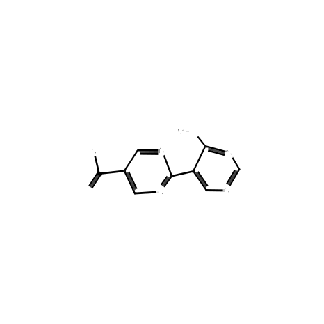 COc1ncncc1-c1ncc(C(N)=O)cn1